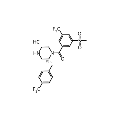 CS(=O)(=O)c1cc(C(=O)N2CCNC[C@H]2Cc2ccc(C(F)(F)F)cc2)cc(C(F)(F)F)c1.Cl